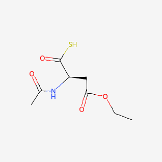 CCOC(=O)C[C@@H](NC(C)=O)C(=O)S